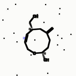 C=C1CC[C@H](O)OC/C=C\[C@H](CO)C1